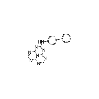 C1=NC2=NC=NC3=NC(Nc4ccc(-c5ccccc5)cc4)=NC(=N1)N23